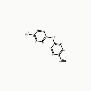 CC(C)c1ccc(Sc2ccc(C(C)(C)C)cc2)cc1